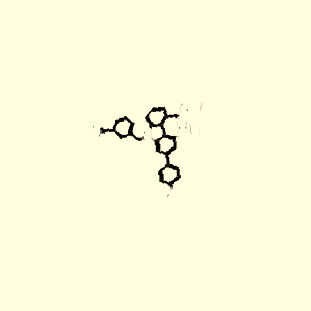 N#Cc1cccc(Cn2c3cc(-c4ccc(Cl)cc4)cc(O)c3c3c(C(N)=O)cccc32)c1